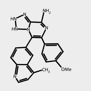 COc1ccc(C2=C(c3ccc4nccc(C)c4c3)N3NNN=C3C(N)=N2)cc1